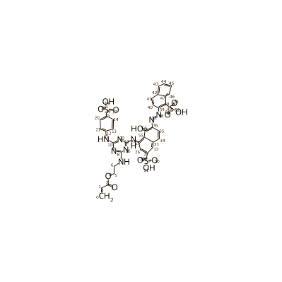 C=CC(=O)OCCNc1nc(Nc2ccc(S(=O)(=O)O)cc2)nc(Nc2cc(S(=O)(=O)O)cc3ccc(/N=N/c4ccc5ccccc5c4S(=O)(=O)O)c(O)c23)n1